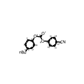 CCCCc1ccc(OC(=O)Oc2ccc(C#N)cc2)cc1